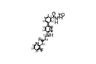 O=C(NC1COC1)c1cccc(-c2ccc(NCC[C@H](F)Cc3ncccc3F)nn2)c1